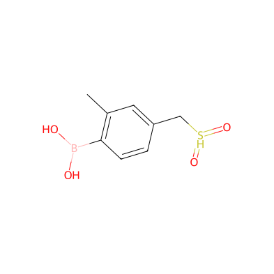 Cc1cc(C[SH](=O)=O)ccc1B(O)O